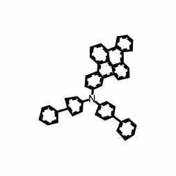 c1ccc(-c2ccc(N(c3ccc(-c4ccccc4)cc3)c3ccc4c(c3)c3cccc5c6ccccc6c6cccc4c6c53)cc2)cc1